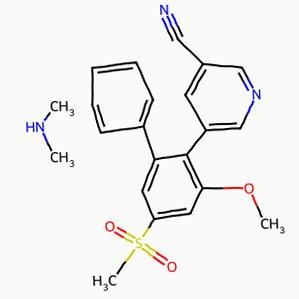 CNC.COc1cc(S(C)(=O)=O)cc(-c2ccccc2)c1-c1cncc(C#N)c1